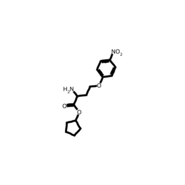 NC(CCOc1ccc([N+](=O)[O-])cc1)C(=O)OC1CCCC1